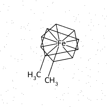 C[C]12[CH]3[CH]4[CH]5[CH]1[Fe]45321678[CH]2[CH]1[CH]6[C]7(C)[CH]28